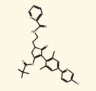 Cc1cc(-c2ccc(Cl)cn2)cc(C)c1C1=C(OC(=O)C(C)(C)C)CC(CCNC(=O)c2ccccn2)C1=O